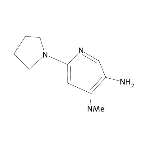 CNc1cc(N2CCCC2)ncc1N